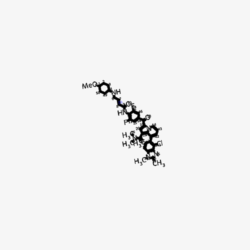 COC1CCC(NC/C=C/C(=O)Nc2c(F)cc(C(=O)c3cc(C(=O)N(C)C)c4c(-c5c(C)cc6c(nc(C)n6C)c5Cl)cccn34)cc2F)CC1